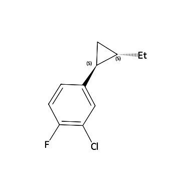 CC[C@H]1C[C@@H]1c1ccc(F)c(Cl)c1